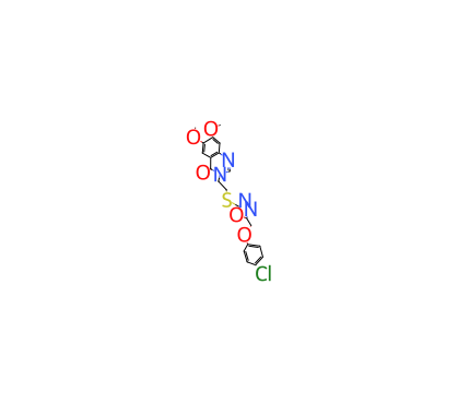 COc1cc2ncn(CCSc3nnc(COc4ccc(Cl)cc4)o3)c(=O)c2cc1OC